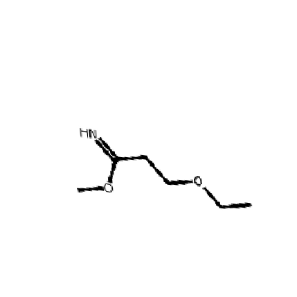 CCOCCC(=N)OC